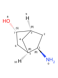 N[C@@H]1C[C@H]2C[C@@H]1C[C@@H]2O